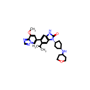 COc1cc(-c2cc3[nH]c(=O)n([C@H]4CC[C@@H](NC5CCOCC5)CC4)c3cc2C(C)C)cn2ncnc12